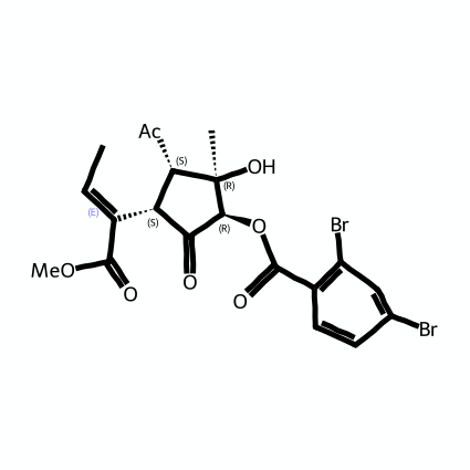 C/C=C(/C(=O)OC)[C@H]1C(=O)[C@H](OC(=O)c2ccc(Br)cc2Br)[C@](C)(O)[C@H]1C(C)=O